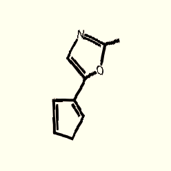 Cc1ncc(C2=CCC=C2)o1